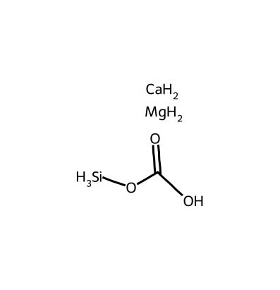 O=C(O)O[SiH3].[CaH2].[MgH2]